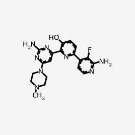 CN1CCN(c2cc(-c3nc(-c4ccnc(N)c4F)ccc3O)nc(N)n2)CC1